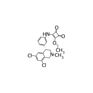 CCOc1c(Nc2cccc([C@@H]3CN(C)Cc4c(Cl)cc(Cl)cc43)c2)c(=O)c1=O